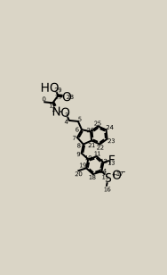 CC(=NOCCC1=C/C(=C/c2cc(F)c([S+](C)[O-])cc2C)c2ccccc21)C(=O)O